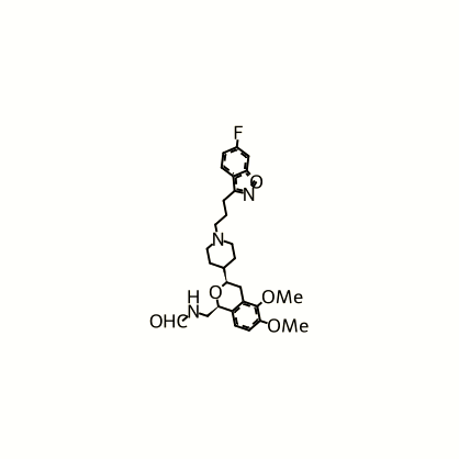 COc1ccc2c(c1OC)C[C@H](C1CCN(CCCc3noc4cc(F)ccc34)CC1)O[C@@H]2CNC=O